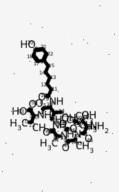 CC(C)[C@H](NC(=O)[C@@H](NC(=O)CCCCCc1ccc(O)cc1)C(CO)CNC(=O)[C@H](C)N(C(=O)OC(C)(C)C)C(=O)[C@H](C)NC(=O)[C@@H](N)CO)C(=O)O